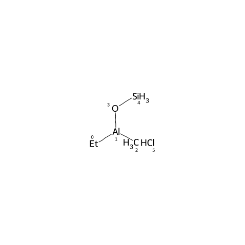 C[CH2][Al]([CH3])[O][SiH3].Cl